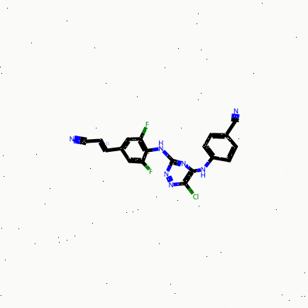 N#C/C=C/c1cc(F)c(Nc2nnc(Cl)c(Nc3ccc(C#N)cc3)n2)c(F)c1